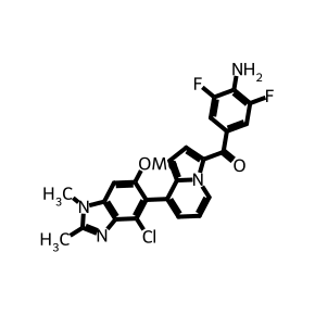 COc1cc2c(nc(C)n2C)c(Cl)c1-c1cccn2c(C(=O)c3cc(F)c(N)c(F)c3)ccc12